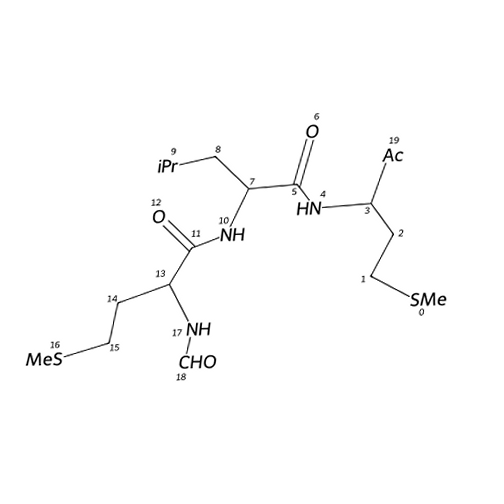 CSCCC(NC(=O)C(CC(C)C)NC(=O)C(CCSC)NC=O)C(C)=O